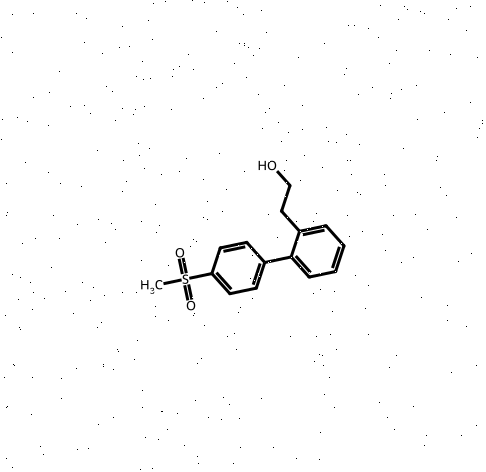 CS(=O)(=O)c1ccc(-c2ccccc2CCO)cc1